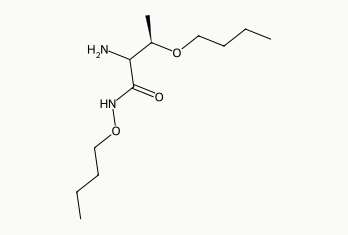 CCCCONC(=O)C(N)[C@@H](C)OCCCC